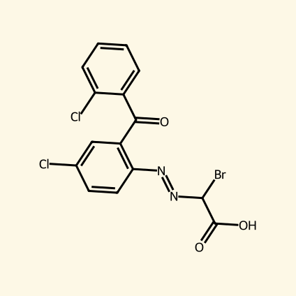 O=C(c1ccccc1Cl)c1cc(Cl)ccc1/N=N/C(Br)C(=O)O